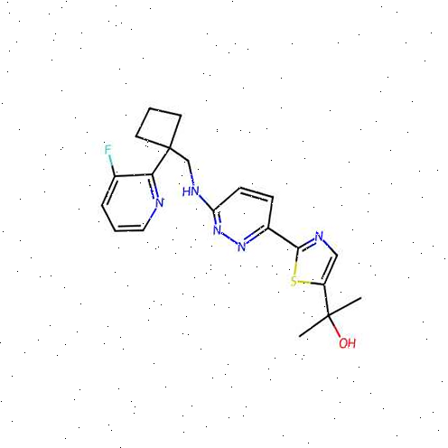 CC(C)(O)c1cnc(-c2ccc(NCC3(c4ncccc4F)CCC3)nn2)s1